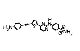 Nc1ccc(C#Cc2ccc(-c3ccnc(Nc4ccc(S(N)(=O)=O)cc4)n3)s2)cc1